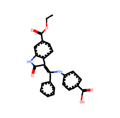 CCOC(=O)c1ccc2c(c1)NC(=O)C2=C(Nc1ccc(C(=O)O)cc1)c1ccccc1